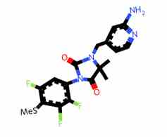 CSc1c(F)cc(N2C(=O)N(Cc3ccnc(N)c3)C(C)(C)C2=O)c(F)c1F